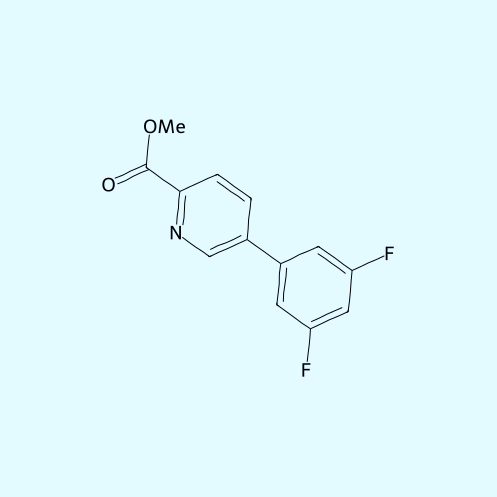 COC(=O)c1ccc(-c2cc(F)cc(F)c2)cn1